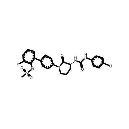 CS(=O)(=O)Nc1c(F)cccc1-c1ccc(N2CCC[C@@H](NC(=O)Nc3ccc(Cl)cc3)C2=O)cc1